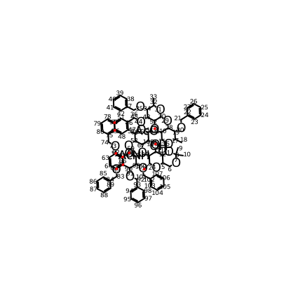 CC(=O)NC1[C@H](C)OC2COC(C)(C)O[C@H]2[C@@H]1O[C@@H]1OC(C)[C@H](OCc2ccccc2)[C@H](O[C@@H]2OC(C)[C@H](OCc3ccccc3)[C@H](OCc3ccccc3)C2O[C@@H]2OC(C)[C@H](OCc3ccccc3)[C@H](O[C@H]3O[C@@H](COCc4ccccc4)[C@@H](OCc4ccccc4)C(OCc4ccccc4)C3OCc3ccccc3)C2O)C1OC(C)=O